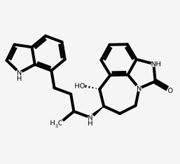 CC(CCc1cccc2cc[nH]c12)N[C@@H]1CCn2c(=O)[nH]c3cccc(c32)[C@H]1O